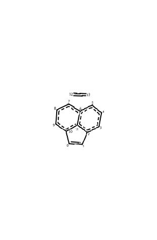 C1=Cc2cccc3cccc1c23.C=C